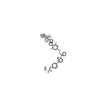 Cc1cc(CCC(=O)c2ccc(-c3ccc(C(F)(F)F)cc3)s2)cc(C)c1OOC(=O)C(C)(C)C(C)(C)C